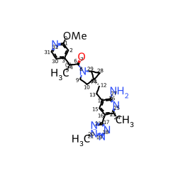 COc1cc([C@H](C)C(=O)N2CC[C@]3(CCc4cc(-c5nnn(C)n5)c(C)nc4N)CC23)ccn1